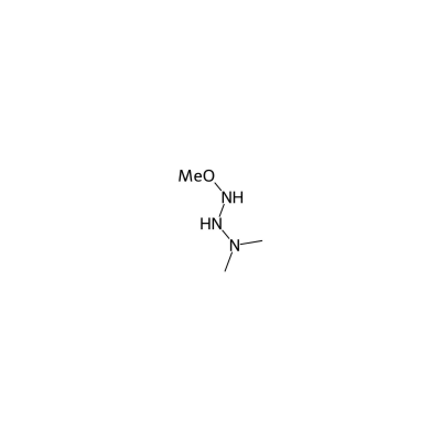 CONNN(C)C